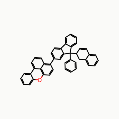 C1=CC(C2(c3ccccc3)c3ccccc3-c3ccc(-c4ccc5c6c(cccc46)-c4ccccc4O5)cc32)Cc2ccccc21